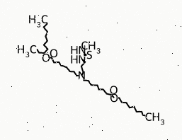 CCCCCCCCCOC(=O)CCCCCCCN(CCCCCCCC(=O)OC(CCC)CCCCCCCC)CCCNC(=S)NC